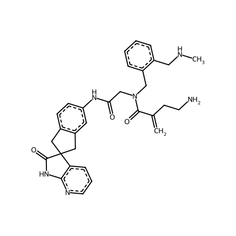 C=C(CCN)C(=O)N(CC(=O)Nc1ccc2c(c1)CC1(C2)C(=O)Nc2ncccc21)Cc1ccccc1CNC